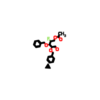 C1CC1.CC(=O)OC[C@H](F)[C@H](OCc1ccccc1)[C@@H](C=O)OCc1ccccc1